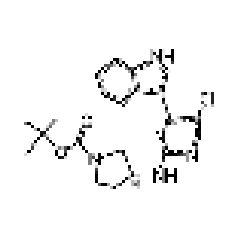 CC(C)(C)OC(=O)N1CC[C@@H](Nc2ncc(Cl)c(-c3c[nH]c4ccccc34)n2)C1